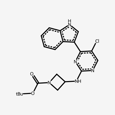 CC(C)(C)OC(=O)N1CC(Nc2ncc(Cl)c(-c3c[nH]c4ccccc34)n2)C1